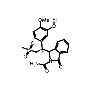 CCOc1cc([C@H](CS(C)(=O)=O)C2c3ccccc3C(=O)N2C(N)=O)ccc1OC